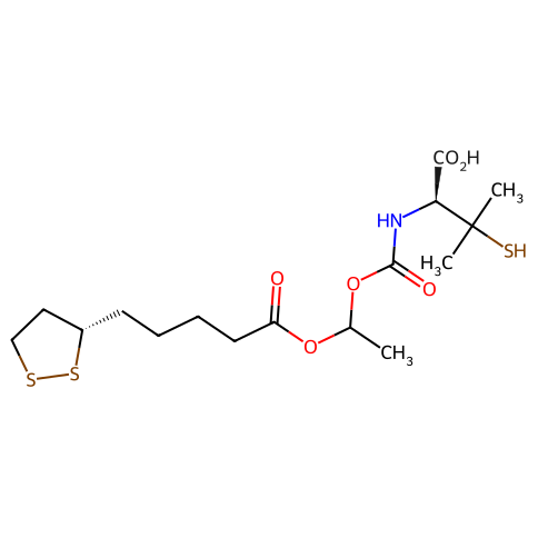 CC(OC(=O)CCCC[C@H]1CCSS1)OC(=O)N[C@@H](C(=O)O)C(C)(C)S